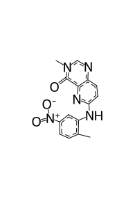 Cc1ccc([N+](=O)[O-])cc1Nc1ccc2ncn(C)c(=O)c2n1